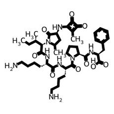 CC[C@H](C)[C@@H](C(=O)N[C@@H](CCCCN)C(=O)N[C@@H](CCCCN)C(=O)N1CCC[C@H]1C(=O)N[C@@H](Cc1ccccc1)C(=O)O)N1C(=O)[C@@H](Nc2c(C)c(=O)c2=O)CC1C